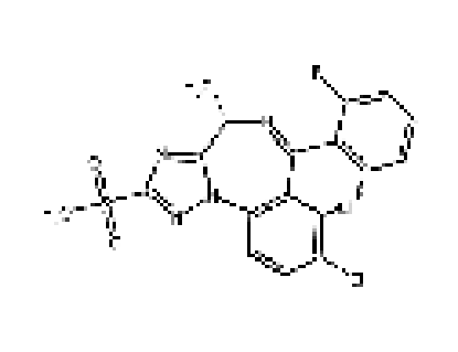 C[C@@H]1N=C(c2c(F)cccc2F)c2c(ccc(Cl)c2Cl)-n2nc(S(C)(=O)=O)nc21